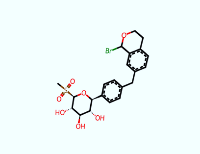 CS(=O)(=O)[C@H]1O[C@@H](c2ccc(Cc3ccc4c(c3)C(Br)OCC4)cc2)[C@H](O)[C@@H](O)[C@@H]1O